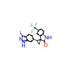 O=C1Nc2ccc(C(F)(F)F)cc2[C@]12CC2c1ccc2c(I)n[nH]c2c1